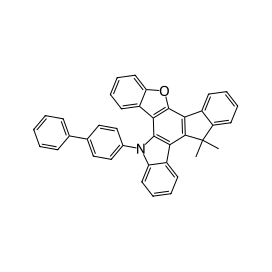 CC1(C)c2ccccc2-c2c1c1c3ccccc3n(-c3ccc(-c4ccccc4)cc3)c1c1c2oc2ccccc21